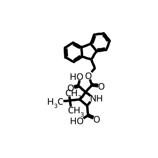 CC(C)(C)C1C(C(=O)O)NC1(C(=O)O)C(=O)OCC1c2ccccc2-c2ccccc21